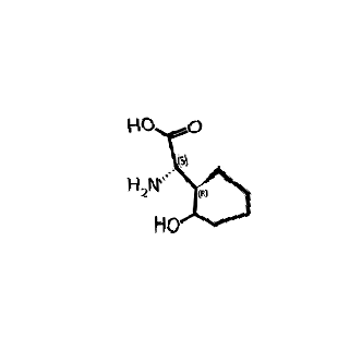 N[C@H](C(=O)O)[C@H]1CCCCC1O